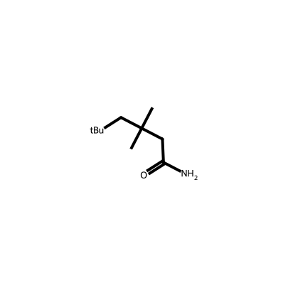 CC(C)(C)CC(C)(C)CC(N)=O